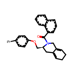 CC(C)c1ccc(OC[C@@H]2CC3=CCCC=C3CN2C(=O)c2cccc3ccccc23)cc1